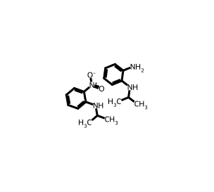 CC(C)Nc1ccccc1N.CC(C)Nc1ccccc1[N+](=O)[O-]